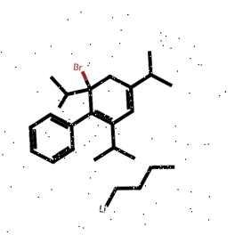 CC(C)C1=CC(C(C)C)=C(c2ccccc2)C(Br)(C(C)C)C1.[Li][CH2]CCC